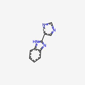 c1ccc2[nH]c(-c3cncnc3)nc2c1